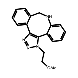 COCCn1nnc2c1-c1ccccc1NCc1ccccc1-2